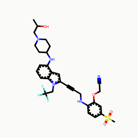 CC(O)CN1CCC(Nc2cccc3c2cc(C#CCNc2ccc(S(C)(=O)=O)cc2OCC#N)n3CC(F)(F)F)CC1